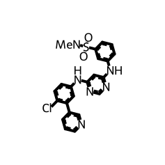 CNS(=O)(=O)c1cccc(Nc2cc(Nc3ccc(Cl)c(-c4cccnc4)c3)ncn2)c1